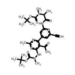 C#Cc1cc(-c2nc(C)nc(NN(C)C(=O)OC(C)(C)C)c2C(C)=O)cc(NC(=O)C(C)N(C)C(=O)OC(C)(C)C)n1